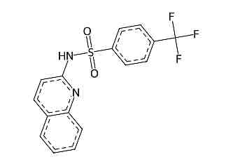 O=S(=O)(Nc1ccc2ccccc2n1)c1ccc(C(F)(F)F)cc1